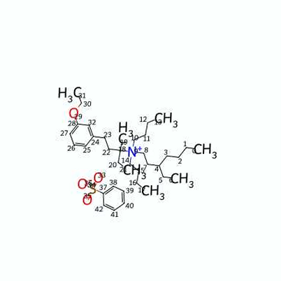 CCCCC(CC)CC[N+](CCCC)(CCCC)C(C)(CC)CCc1cccc(OCC)c1.O=S(=O)([O-])c1ccccc1